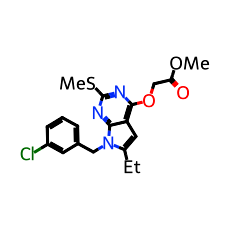 CCc1cc2c(OCC(=O)OC)nc(SC)nc2n1Cc1cccc(Cl)c1